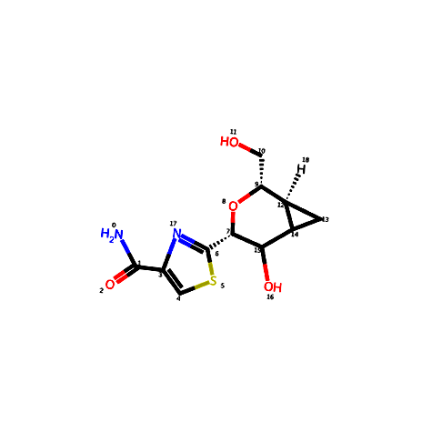 NC(=O)c1csc([C@@H]2O[C@H](CO)[C@H]3CC3C2O)n1